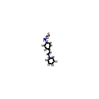 S=C=Nc1ccc(/C=C/c2ccccc2)cc1